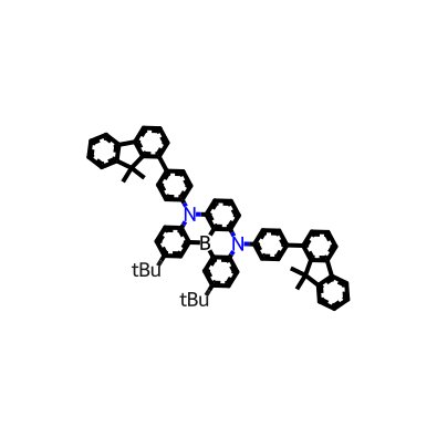 CC(C)(C)c1ccc2c(c1)B1c3cc(C(C)(C)C)ccc3N(c3ccc(-c4cccc5c4C(C)(C)c4ccccc4-5)cc3)c3cccc(c31)N2c1ccc(-c2cccc3c2C(C)(C)c2ccccc2-3)cc1